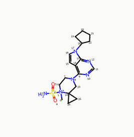 C[N+]1(S(N)(=O)=O)CCN(c2ncnc3c2ccn3C2CCCC2)CC12CC2